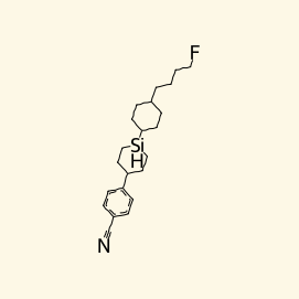 N#Cc1ccc(C2CC[SiH](C3CCC(CCCCF)CC3)CC2)cc1